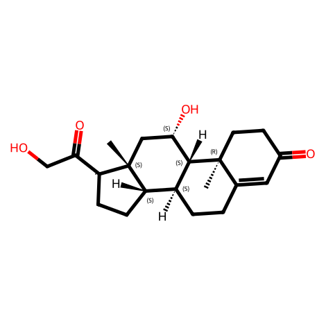 C[C@@]12C[C@H](O)[C@H]3[C@@H](CCC4=CC(=O)CC[C@@]43C)[C@@H]1CC[C]2C(=O)CO